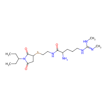 CCC(CC)N1C(=O)CC(SCCNC(=O)C(N)CCCN/C(=N/C)NC)C1=O